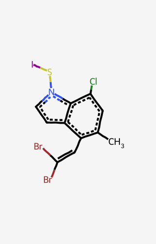 Cc1cc(Cl)c2c(ccn2SI)c1C=C(Br)Br